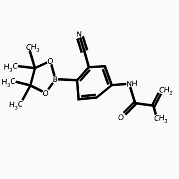 C=C(C)C(=O)Nc1ccc(B2OC(C)(C)C(C)(C)O2)c(C#N)c1